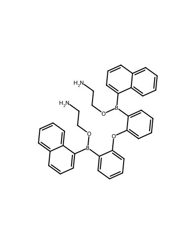 NCCOB(c1ccccc1Oc1ccccc1B(OCCN)c1cccc2ccccc12)c1cccc2ccccc12